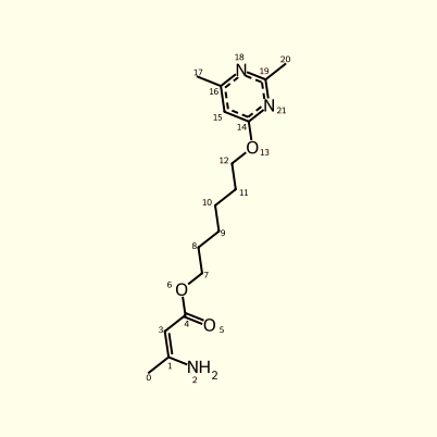 CC(N)=CC(=O)OCCCCCCOc1cc(C)nc(C)n1